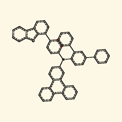 c1ccc(-c2ccc(N(c3ccc(-c4cccc5c4oc4ccccc45)cc3)c3ccc4c5ccccc5c5ccccc5c4c3)c(-c3ccccc3)c2)cc1